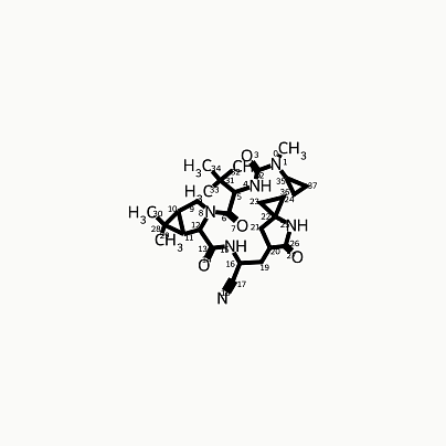 CN(C(=O)NC(C(=O)N1CC2C(C1C(=O)NC(C#N)CC1CC3(CC3)NC1=O)C2(C)C)C(C)(C)C)C1CC1